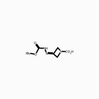 CC(C)(C)OC(=O)NN=C1CN(C(=O)O)C1